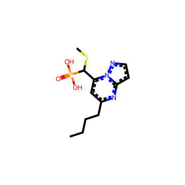 CCCCc1cc(C(SC)P(=O)(O)O)n2nccc2n1